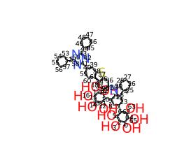 Oc1c(O)c(O)c(-c2cc(-c3c(O)c(O)c(O)c(O)c3O)c3c(c2)c2ccccc2n3-c2ccc3c(c2)sc2cc(-c4nc(-c5ccccc5)nc(-c5ccccc5)n4)ccc23)c(O)c1O